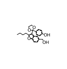 CCCCc1oc2ccc(CO)cc2c1C1(c2ccc(O)cc2)OCCO1